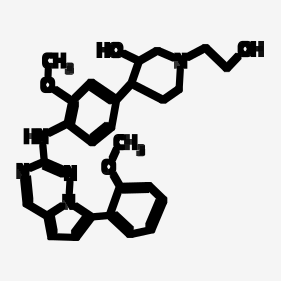 COc1cc(C2CCN(CCO)CC2O)ccc1Nc1ncc2ccc(-c3ccccc3OC)n2n1